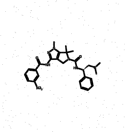 CN(C)C[C@@H](NC(=O)N1Cc2c(NC(=O)c3cccc([N+](=O)[O-])c3)nn(C)c2C1(C)C)c1ccccc1